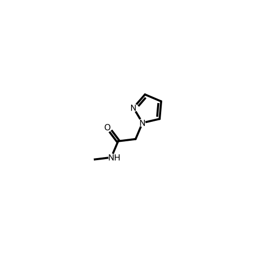 CNC(=O)Cn1cccn1